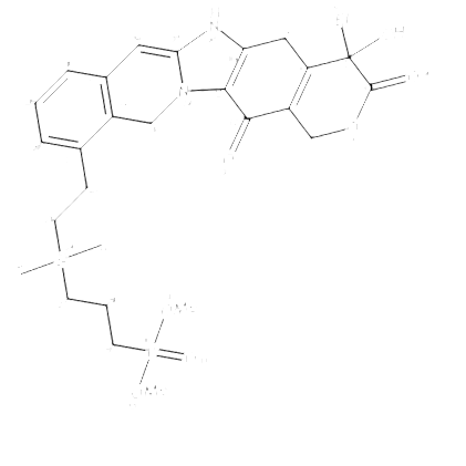 CCC1(O)C(=O)OCC2=C1CC1=C(C2=O)N2Cc3c(cccc3CC[Si](C)(C)CCCP(=O)(OC)OC)C=C2N1